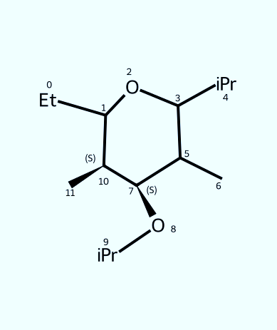 CCC1OC(C(C)C)C(C)[C@@H](OC(C)C)[C@H]1C